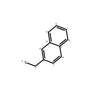 [S]Cc1ccc2ccccc2c1